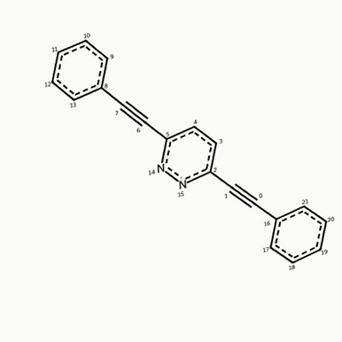 C(#Cc1ccc(C#Cc2ccccc2)nn1)c1ccccc1